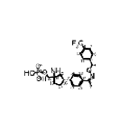 CC(=NOCc1ccc(C(F)(F)F)cc1)c1ccc([C@@H]2CC[C@](N)(COP(=O)(O)O)C2)cc1